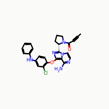 CC#CC(=O)N1CCC[C@H]1c1nc(Oc2ccc(Nc3ccccc3)cc2Cl)c2c(N)nccn12